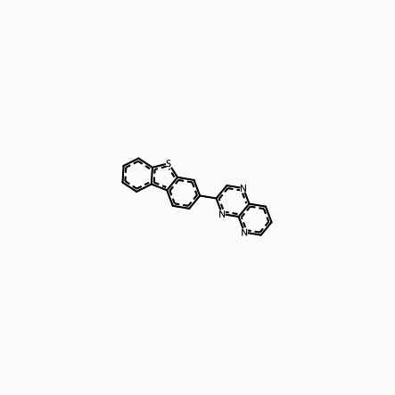 c1cnc2nc(-c3ccc4c(c3)sc3ccccc34)cnc2c1